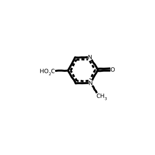 Cn1cc(C(=O)O)cnc1=O